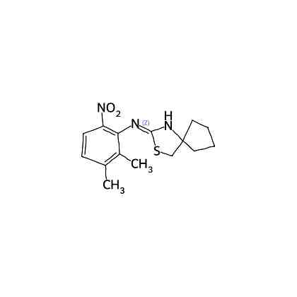 Cc1ccc([N+](=O)[O-])c(/N=C2/NC3(CCCC3)CS2)c1C